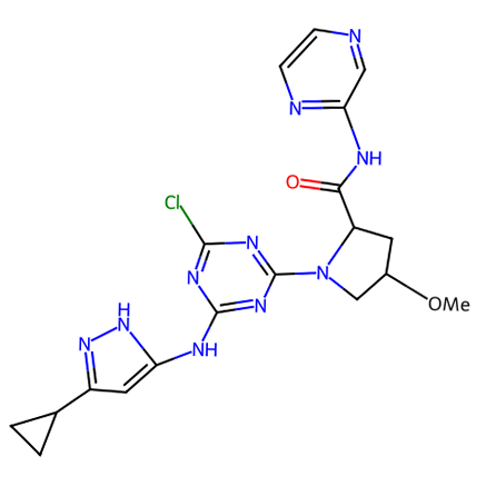 COC1CC(C(=O)Nc2cnccn2)N(c2nc(Cl)nc(Nc3cc(C4CC4)n[nH]3)n2)C1